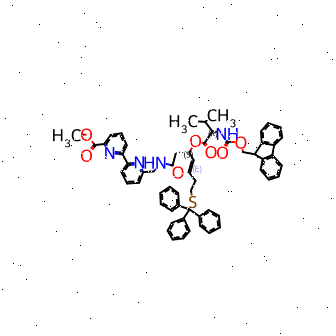 COC(=O)c1cccc(-c2cccc(CNC(=O)C[C@@H](/C=C/CCSC(c3ccccc3)(c3ccccc3)c3ccccc3)OC(=O)[C@H](NC(=O)OCC3c4ccccc4-c4ccccc43)C(C)C)n2)n1